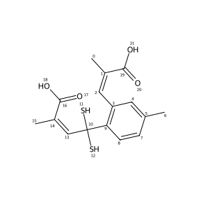 CC(=Cc1cc(C)ccc1C(S)(S)C=C(C)C(=O)O)C(=O)O